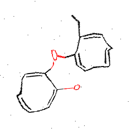 Cc1ccccc1Oc1ccccc1[O]